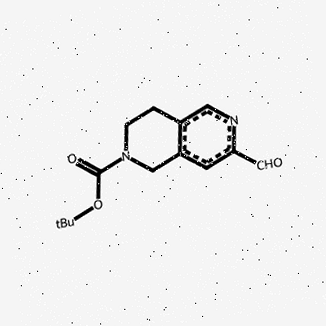 CC(C)(C)OC(=O)N1CCc2cnc(C=O)cc2C1